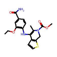 CCOc1cc(C(N)=O)ccc1NC1=C(C)N(C(=O)OC)Cc2sccc21